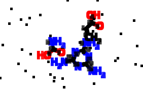 C=CC(=O)O.NC(=O)O.Nc1nc(N)nc(N)n1